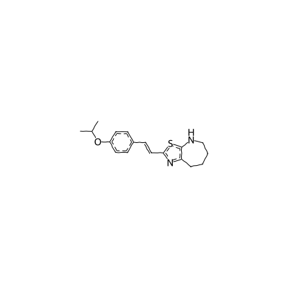 CC(C)Oc1ccc(C=Cc2nc3c(s2)NCCCC3)cc1